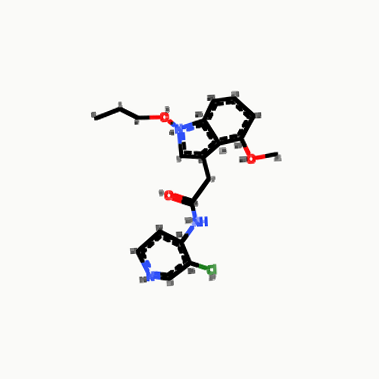 CCCOn1cc(CC(=O)Nc2ccncc2Cl)c2c(OC)cccc21